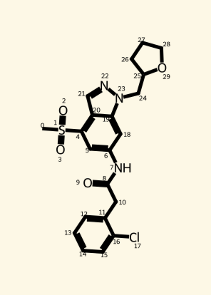 CS(=O)(=O)c1cc(NC(=O)Cc2ccccc2Cl)cc2c1cnn2CC1CCCO1